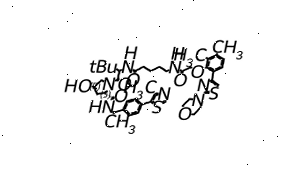 Cc1ccc(-c2csc(N3CCOCC3)n2)c(OCC(=O)NCCCCC(=O)NC(C(=O)N2C[C@H](O)C[C@H]2C(=O)NC(C)c2ccc(-c3scnc3C)cc2)C(C)(C)C)c1C